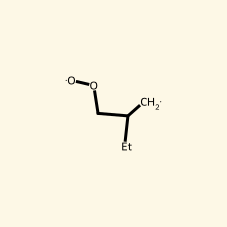 [CH2]C(CC)CO[O]